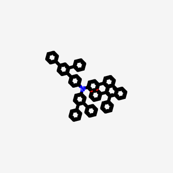 c1ccc(-c2ccc(-c3ccc(N(c4ccc(-c5cccc6c5c(-c5ccccc5)c(-c5ccccc5)c5ccccc56)cc4)c4ccc(-c5ccccc5)c(-c5ccccc5)c4)cc3)c(-c3ccccc3)c2)cc1